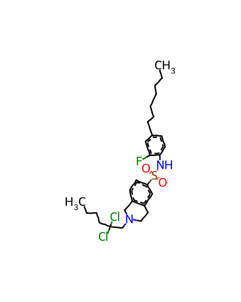 CCCCCCCc1ccc(NS(=O)(=O)c2ccc3c(c2)CCN(CC(Cl)(Cl)CCCC)C3)c(F)c1